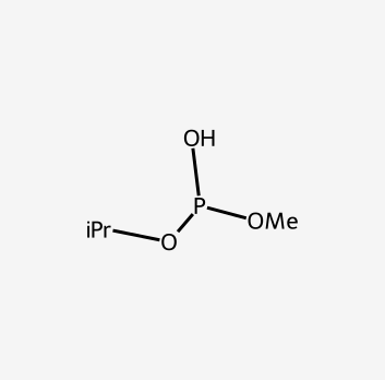 COP(O)OC(C)C